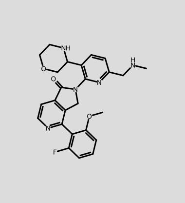 CNCc1ccc(C2COCCN2)c(N2Cc3c(ccnc3-c3c(F)cccc3OC)C2=O)n1